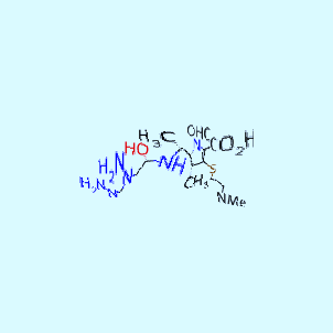 CNCCSC1=C(C(=O)O)N(C=O)[C@@H]([C@@H](C)N[C@@H](O)CN(N)/C=N\N)[C@H]1C